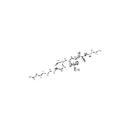 CCCCCCCCc1ccc(CCC=C(NC(=O)OCCCC)O[PH](=O)O)cc1